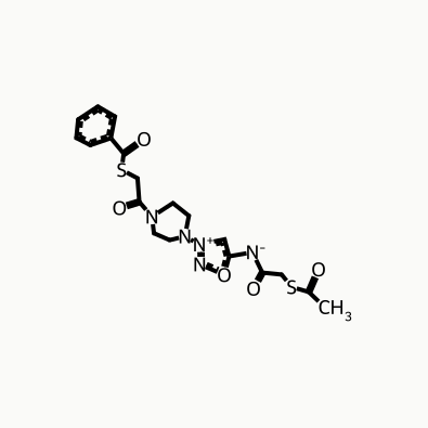 CC(=O)SCC(=O)[N-]c1c[n+](N2CCN(C(=O)CSC(=O)c3ccccc3)CC2)no1